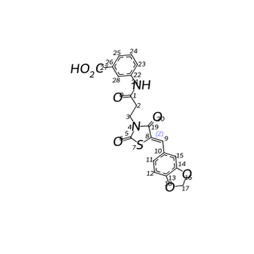 O=C(CCN1C(=O)S/C(=C\c2ccc3c(c2)OCO3)C1=O)Nc1cccc(C(=O)O)c1